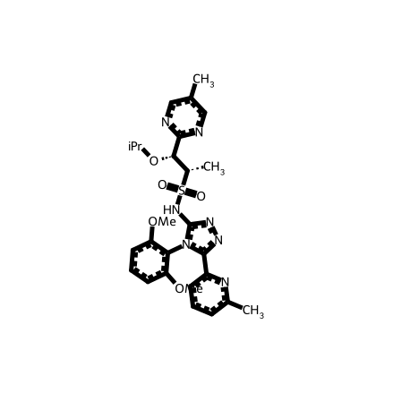 COc1cccc(OC)c1-n1c(NS(=O)(=O)[C@@H](C)[C@H](OC(C)C)c2ncc(C)cn2)nnc1-c1cccc(C)n1